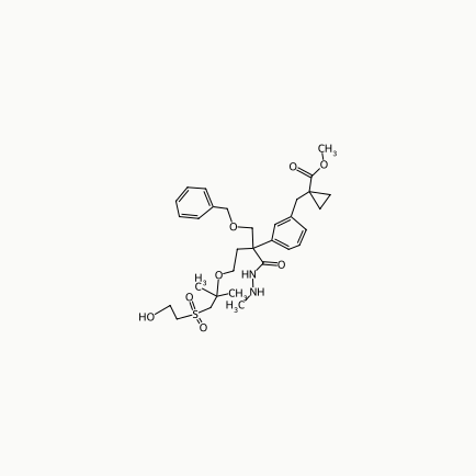 CNNC(=O)C(CCOC(C)(C)CS(=O)(=O)CCO)(COCc1ccccc1)c1cccc(CC2(C(=O)OC)CC2)c1